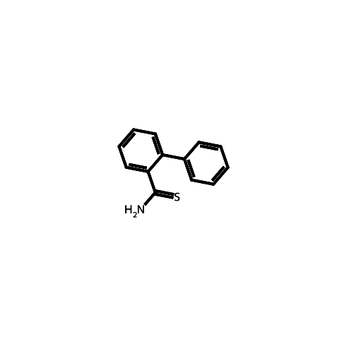 NC(=S)c1ccccc1-c1ccccc1